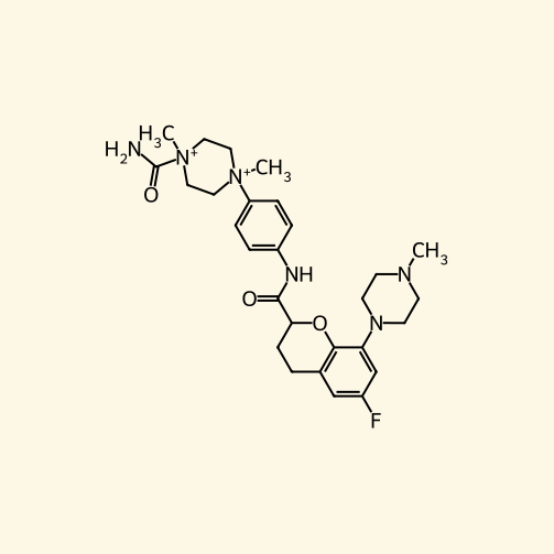 CN1CCN(c2cc(F)cc3c2OC(C(=O)Nc2ccc([N+]4(C)CC[N+](C)(C(N)=O)CC4)cc2)CC3)CC1